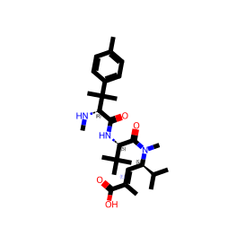 CN[C@@H](C(=O)N[C@H](C(=O)N(C)[C@H](/C=C(\C)C(=O)O)C(C)C)C(C)(C)C)C(C)(C)c1ccc(C)cc1